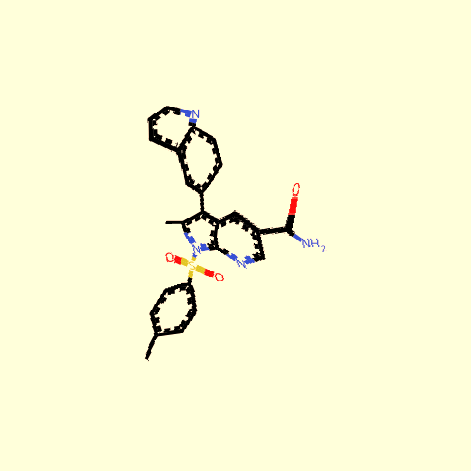 Cc1ccc(S(=O)(=O)n2c(C)c(-c3ccc4ncccc4c3)c3cc(C(N)=O)cnc32)cc1